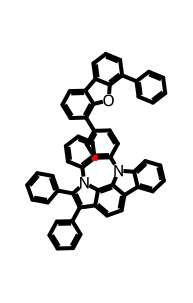 c1ccc(-c2c(-c3ccccc3)n(-c3ccccc3)c3c2ccc2c4ccccc4n(-c4ccc(-c5cccc6c5oc5c(-c7ccccc7)cccc56)cc4)c23)cc1